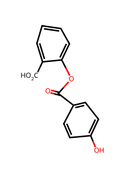 O=C(Oc1ccccc1C(=O)O)c1ccc(O)cc1